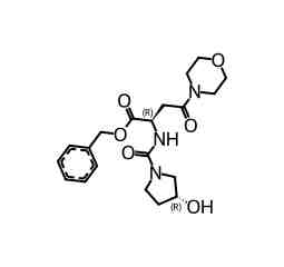 O=C(OCc1ccccc1)[C@@H](CC(=O)N1CCOCC1)NC(=O)N1CC[C@@H](O)C1